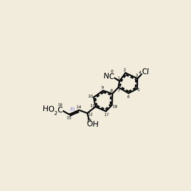 N#Cc1cc(Cl)ccc1-c1ccc(C(O)/C=C/C(=O)O)cc1